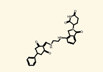 O=C1CCC(N2Cc3c(NCCNC=C4C(=O)CC(c5ccccc5)CC4=O)cccc3C2=O)C(=O)N1